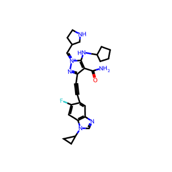 NC(=O)C1=C(NC2CCCC2)/[N+](=C\C2CCNC2)N=C1C#Cc1cc2ncn(C3CC3)c2cc1F